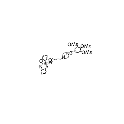 COc1cc(CCN2CCN(CCCCOc3ccccc3[C@@]3(C(C)C)Sc4ccccc4N(C)C3=O)CC2)cc(OC)c1OC